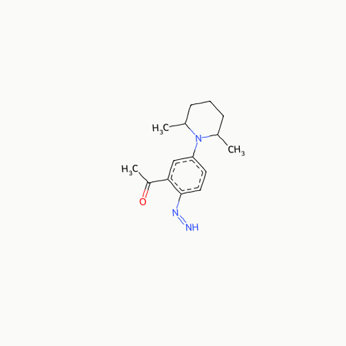 CC(=O)c1cc(N2C(C)CCCC2C)ccc1N=N